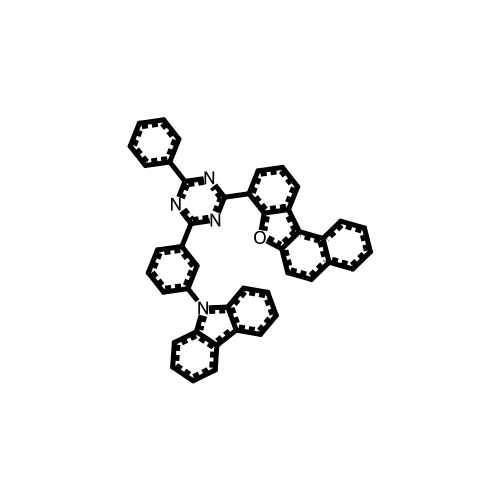 c1ccc(-c2nc(-c3cccc(-n4c5ccccc5c5ccccc54)c3)nc(-c3cccc4c3oc3ccc5ccccc5c34)n2)cc1